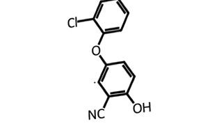 N#Cc1[c]c(Oc2ccccc2Cl)ccc1O